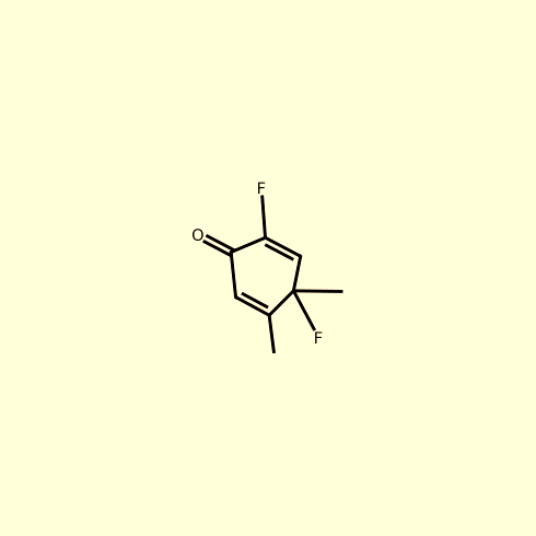 CC1=CC(=O)C(F)=CC1(C)F